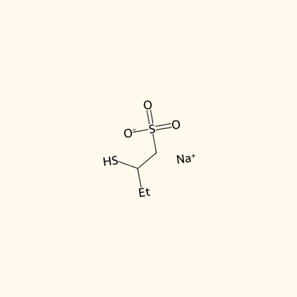 CCC(S)CS(=O)(=O)[O-].[Na+]